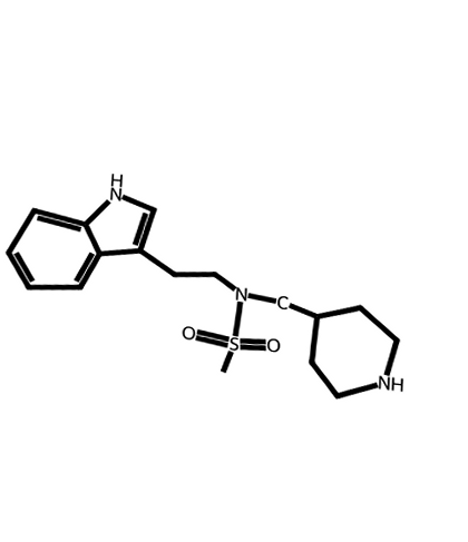 CS(=O)(=O)N(CCc1c[nH]c2ccccc12)CC1CCNCC1